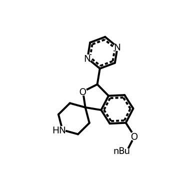 CCCCOc1ccc2c(c1)C1(CCNCC1)OC2c1cnccn1